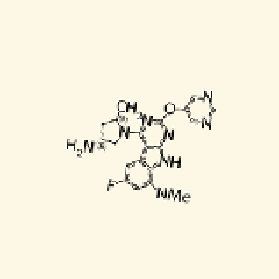 CNc1cc(F)cc2c1[nH]c1nc(Oc3cncnc3)nc(N3C[C@H](N)C[C@H]3C)c12